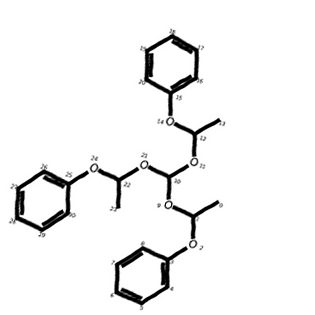 CC(Oc1ccccc1)OC(OC(C)Oc1ccccc1)OC(C)Oc1ccccc1